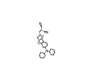 N#CC(C#N)=Cc1cc2oc3cc(N(c4ccccc4)c4ccccc4)ccc3c2o1